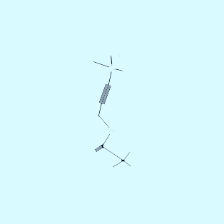 CC(C)(C)C(=O)NCC#C[Si](C)(C)C